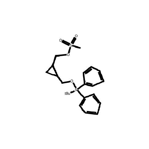 CC(C)(C)[Si](OCC1CC1COS(C)(=O)=O)(c1ccccc1)c1ccccc1